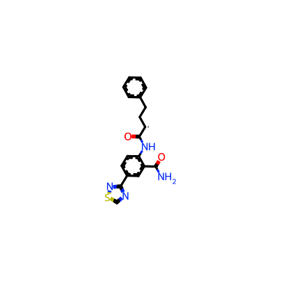 NC(=O)c1cc(-c2ncsn2)ccc1NC(=O)[CH]CCc1ccccc1